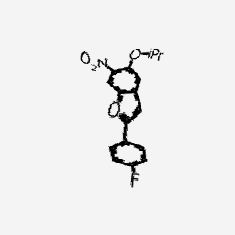 CC(C)Oc1cc2cc(-c3ccc(F)cc3)oc2cc1[N+](=O)[O-]